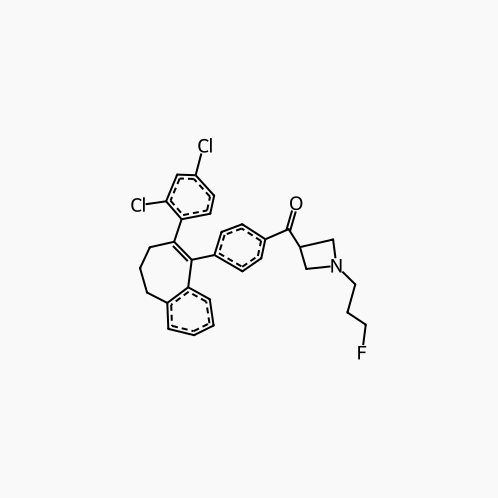 O=C(c1ccc(C2=C(c3ccc(Cl)cc3Cl)CCCc3ccccc32)cc1)C1CN(CCCF)C1